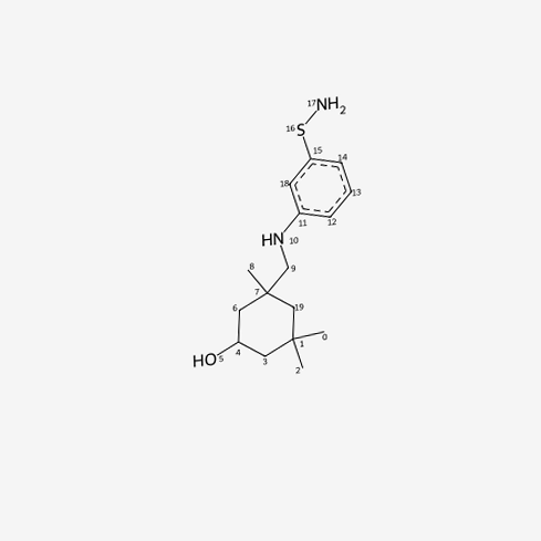 CC1(C)CC(O)CC(C)(CNc2cccc(SN)c2)C1